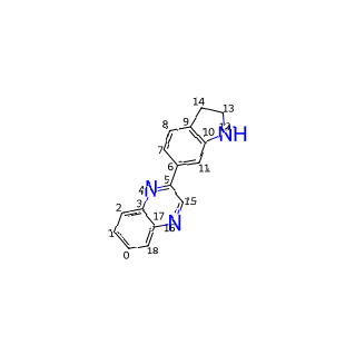 c1ccc2nc(-c3ccc4c(c3)NCC4)cnc2c1